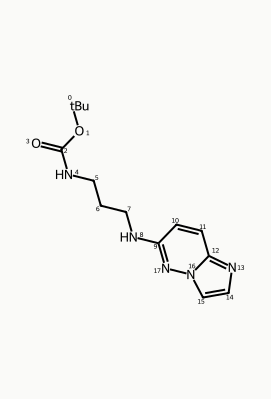 CC(C)(C)OC(=O)NCCCNc1ccc2nccn2n1